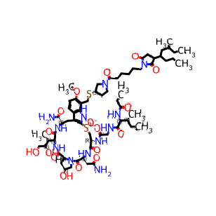 CCCC(CC(C)CC)C1CC(=O)N(CCCCCC(=O)N2CC[C@H](SCc3c(OC)ccc4c5c([nH]c34)[S+]([O-])C[C@H](NC(=O)CNC(=O)[C@@H](NC(=O)CC)[C@@H](C)CC)C(=O)N[C@@H](CC(N)=O)C(=O)N3C[C@H](O)C[C@H]3C(=O)N[C@@H]([C@@H](C)[C@@H](O)CO)C(=O)N[C@H](C(N)=O)C5)C2)C1=O